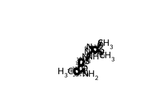 COc1cc2ncnc(Nc3nc4ccc(-c5cc(C)ccc5C(N)=O)cc4s3)c2cc1OC